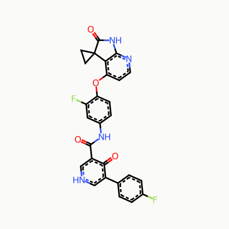 O=C(Nc1ccc(Oc2ccnc3c2C2(CC2)C(=O)N3)c(F)c1)c1c[nH]cc(-c2ccc(F)cc2)c1=O